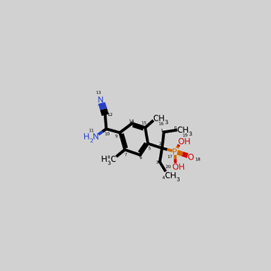 CCC(CC)(c1cc(C)c(C(N)C#N)cc1C)P(=O)(O)O